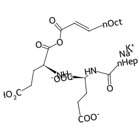 CCCCCCCC(=O)N[C@@H](CCC(=O)[O-])C(=O)[O-].CCCCCCCCC=CC(=O)OC(=O)[C@@H](N)CCC(=O)O.[K+].[Na+]